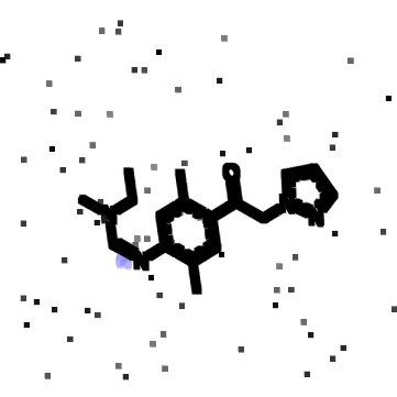 CCN(C)/C=N\c1cc(C)c(C(=O)Cn2cccn2)cc1C